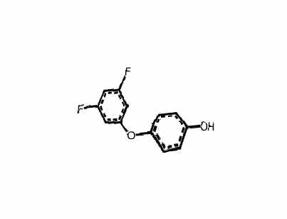 Oc1ccc(Oc2cc(F)cc(F)c2)cc1